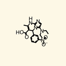 CCN(CC)c1cnc2n1C(c1cccc([N+](=O)[O-])c1)C(C(=O)O)=C(C)N2